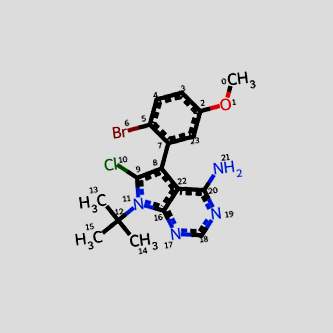 COc1ccc(Br)c(-c2c(Cl)n(C(C)(C)C)c3ncnc(N)c23)c1